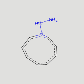 NNn1cccccccc1